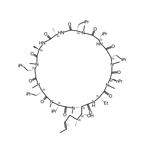 C/C=C/C[C@@H](C)[C@@H](O)[C@H]1C(=O)N[C@@H](CC)C(=O)N(C)[C@H](CCC)C(=O)N(C)[C@@H](CC(C)C)C(=O)N[C@@H](C(C)C)C(=O)N(C)[C@@H](CC(C)C)C(=O)N[C@@H](C)C(=O)N[C@H](C)C(=O)N(C)[C@@H](CC(C)C)C(=O)N(C)[C@@H](CC(C)C)C(=O)N(C)[C@@H](C(C)C)C(=O)N1C